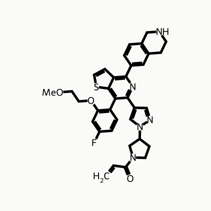 C=CC(=O)N1CCC(n2cc(-c3nc(-c4ccc5c(c4)CCNC5)c4ccsc4c3-c3ccc(F)cc3OCCOC)cn2)C1